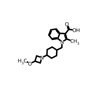 COC1CN(C2CCC(Cn3c(C)c(C(=O)O)c4ccccc43)CC2)C1